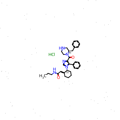 CCCNC(=O)C=C1CCCC[C@@H]1n1cnc(C(=O)N2CCNC[C@H]2Cc2ccccc2)c1-c1ccccc1.Cl